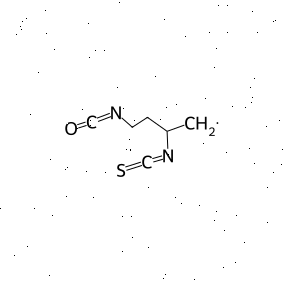 [CH2]C(CCN=C=O)N=C=S